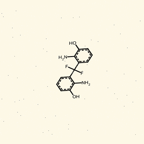 Nc1c(O)cccc1C(F)(F)c1cccc(O)c1N